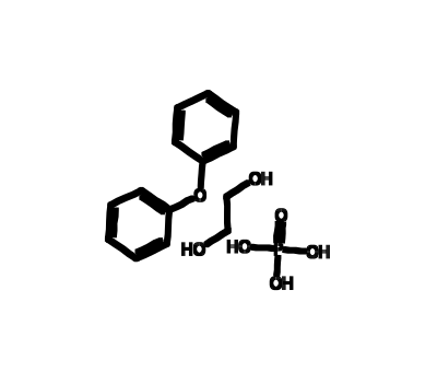 O=P(O)(O)O.OCCO.c1ccc(Oc2ccccc2)cc1